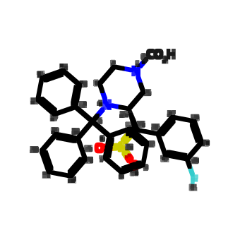 O=C(O)N1CCN(C(c2ccccc2)(c2ccccc2)c2ccccc2)[C@H](C(c2cccc(F)c2)=S(=O)=O)C1